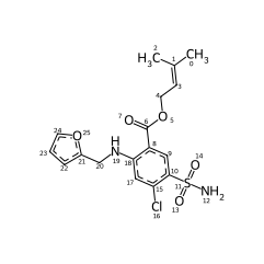 CC(C)=CCOC(=O)c1cc(S(N)(=O)=O)c(Cl)cc1NCc1ccco1